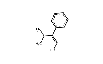 CC(N)C(=NO)c1ccccc1